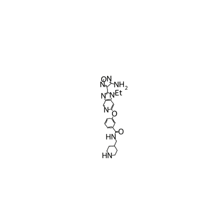 CCn1c(-c2nonc2N)nc2cnc(Oc3cccc(C(=O)NCC4CCNCC4)c3)cc21